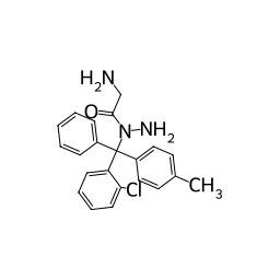 Cc1ccc(C(c2ccccc2)(c2ccccc2Cl)N(N)C(=O)CN)cc1